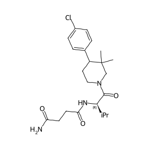 CC(C)[C@@H](NC(=O)CCC(N)=O)C(=O)N1CCC(c2ccc(Cl)cc2)C(C)(C)C1